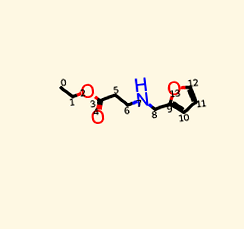 CCOC(=O)CCNCc1ccco1